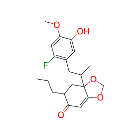 CCCC1CC2(C(C)Cc3cc(O)c(OC)cc3F)OCOC2=CC1=O